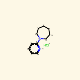 Cl.c1ccc(N2CCCCCC2)nc1